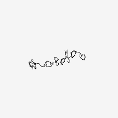 O=C(Nc1ccc(OC(=O)N2CCN(CCc3nccs3)CC2)nc1)c1ccc(CN2CCCCC2)cc1